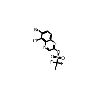 O=S(=O)(Oc1cnc2c(Cl)c(Br)ccc2n1)C(F)(F)F